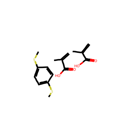 C=C(C)C(=O)O.C=C(C)C(=O)O.CSc1ccc(SC)cc1